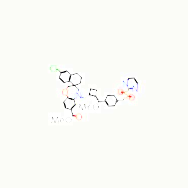 COC(=O)c1ccc2c(c1)N(C[C@@H]1CC[C@H]1[C@H](OC)C1=CC[C@H](CS(=O)(=O)c3ncccn3)CC1)CC1(CCCc3cc(Cl)ccc31)CO2